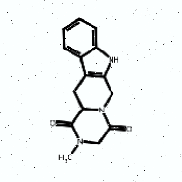 CN1CC(=O)N2Cc3[nH]c4ccccc4c3CC2C1=O